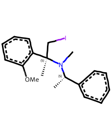 COc1ccccc1[C@@](C)(CI)N(C)[C@@H](C)c1ccccc1